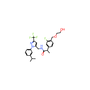 CC(C)c1cccc(-n2nc(C(F)(F)F)cc2CNC(=O)C(C)c2ccc(COCCO)c(F)c2)c1